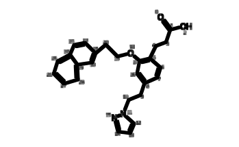 O=C(O)CCc1ccc(CCn2cccn2)cc1OCCc1ccc2ccccc2c1